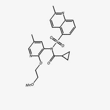 COCCOc1ncc(C)cc1N(C(=O)C1CC1)S(=O)(=O)c1cccc2nc(C)ccc12